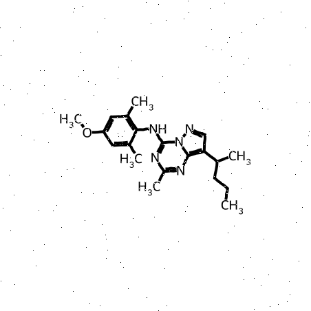 CCCC(C)c1cnn2c(Nc3c(C)cc(OC)cc3C)nc(C)nc12